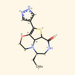 COC[C@@H]1CNC(=O)C2SC(c3cn[nH]c3)=C3OCCN1C32